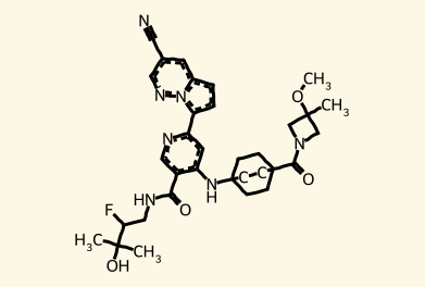 COC1(C)CN(C(=O)C23CCC(Nc4cc(-c5ccc6cc(C#N)cnn56)ncc4C(=O)NCC(F)C(C)(C)O)(CC2)CC3)C1